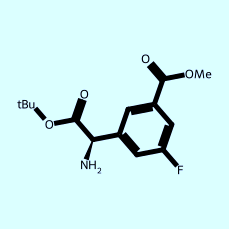 COC(=O)c1cc(F)cc([C@@H](N)C(=O)OC(C)(C)C)c1